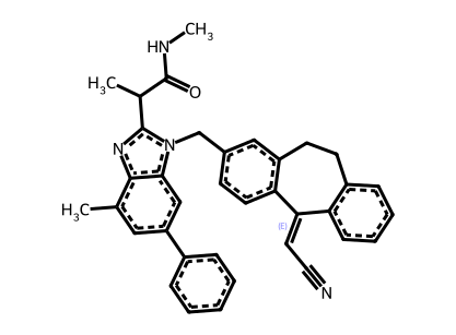 CNC(=O)C(C)c1nc2c(C)cc(-c3ccccc3)cc2n1Cc1ccc2c(c1)CCc1ccccc1/C2=C\C#N